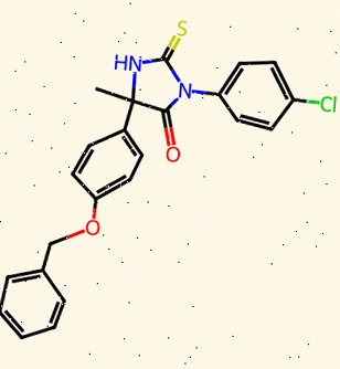 CC1(c2ccc(OCc3ccccc3)cc2)NC(=S)N(c2ccc(Cl)cc2)C1=O